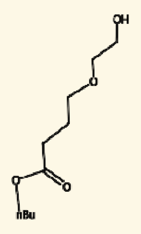 CCCCOC(=O)CCCOCCO